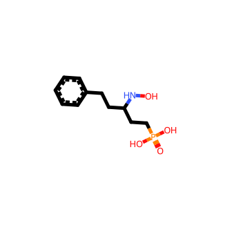 O=P(O)(O)CCC(CCc1ccccc1)NO